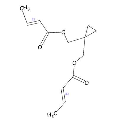 C/C=C/C(=O)OCC1(COC(=O)/C=C/C)CC1